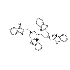 c1ccc2[nH]c(CN(CCCCN(Cc3nc4ccccc4[nH]3)Cc3nc4ccccc4[nH]3)Cc3nc4ccccc4[nH]3)nc2c1